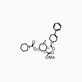 COC(=O)[C@H]1C[C@H](OC(=O)N2CCCCC2)CN(C)[C@@H]1C(=O)N1CC=C(c2ccccc2)CC1